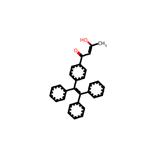 CC(O)=CC(=O)c1ccc(C(=C(c2ccccc2)c2ccccc2)c2ccccc2)cc1